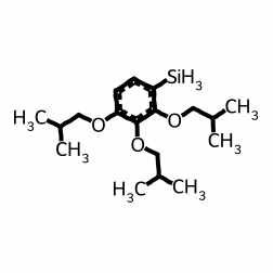 CC(C)COc1ccc([SiH3])c(OCC(C)C)c1OCC(C)C